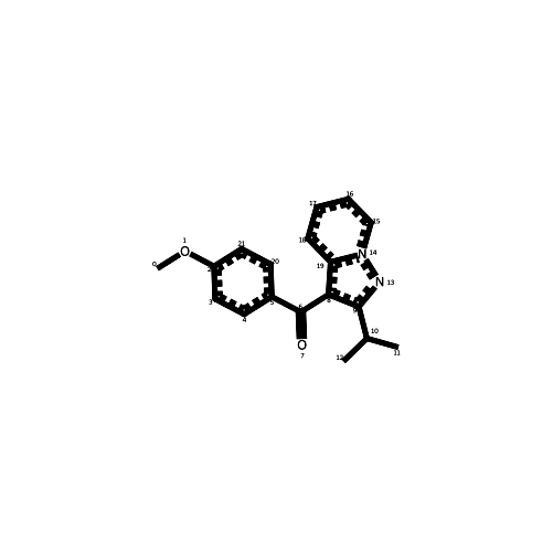 COc1ccc(C(=O)c2c(C(C)C)nn3ccccc23)cc1